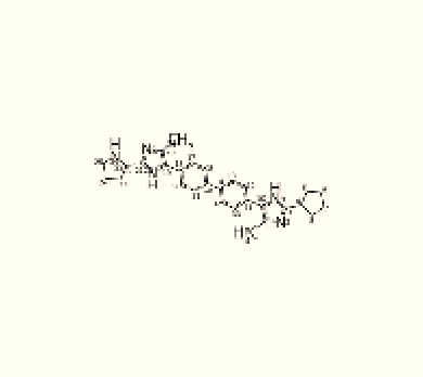 Cc1nc(C2CCCC2)[nH]c1-c1ccc(-c2ccc(-c3[nH]c([C@@H]4CCCN4)nc3C)cc2)cc1